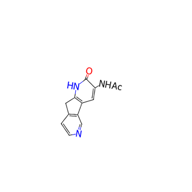 CC(=O)Nc1cc2c([nH]c1=O)Cc1ccncc1-2